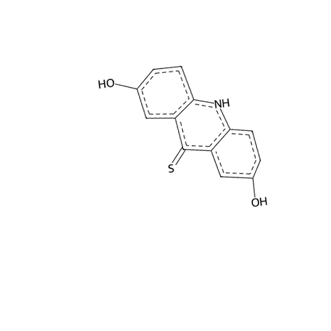 Oc1ccc2[nH]c3ccc(O)cc3c(=S)c2c1